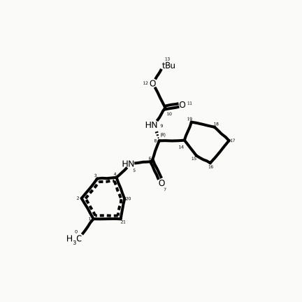 Cc1ccc(NC(=O)[C@H](NC(=O)OC(C)(C)C)C2CCCCC2)cc1